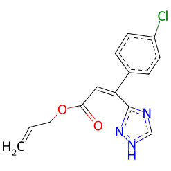 C=CCOC(=O)C=C(c1ccc(Cl)cc1)c1nc[nH]n1